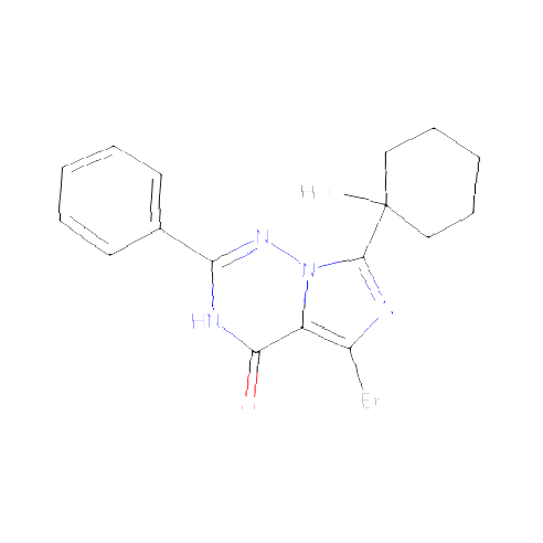 CCc1nc(C2(C)CCCCC2)n2nc(-c3ccccc3)[nH]c(=O)c12